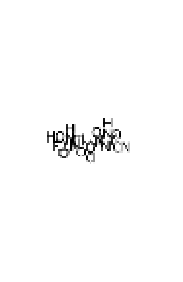 N#Cc1nn(-c2cc(Cl)c(OC3=NNC(O)c4c(F)cccc43)c(Cl)c2)c(=O)[nH]c1=O